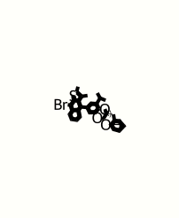 Cc1sc2c(Br)c3ccccc3c(-c3ccc(O[C@H](Cc4ccccc4)C(=O)O)c(C(C)C)c3)c2c1C